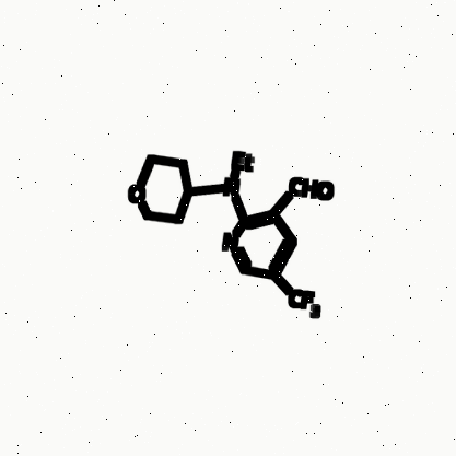 CCN(c1ncc(C(F)(F)F)cc1C=O)C1CCOCC1